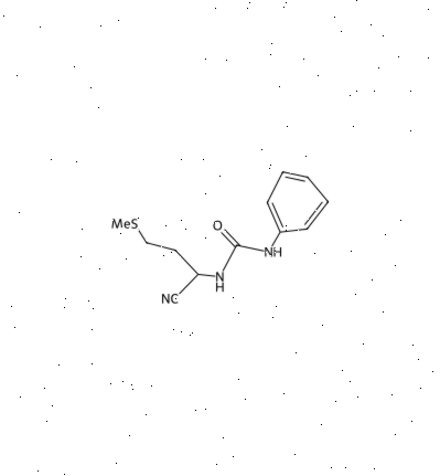 CSCCC(C#N)NC(=O)Nc1ccccc1